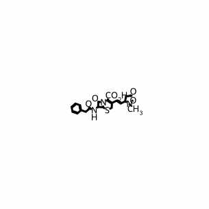 CN1OC(=O)CC1C=CC1=C(C(=O)O)N2C(=O)C(NC(=O)Cc3ccccc3)C2SC1